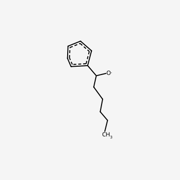 CCCCCC([O])c1ccccc1